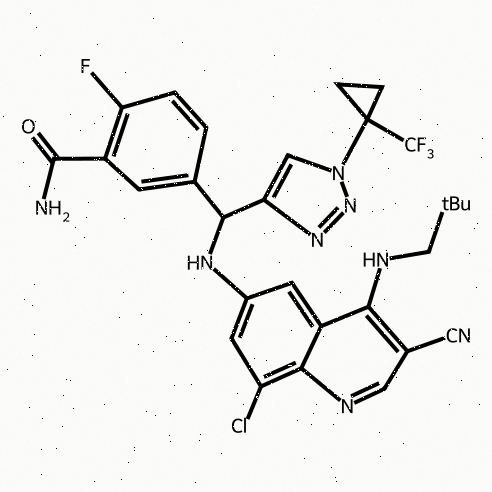 CC(C)(C)CNc1c(C#N)cnc2c(Cl)cc(NC(c3ccc(F)c(C(N)=O)c3)c3cn(C4(C(F)(F)F)CC4)nn3)cc12